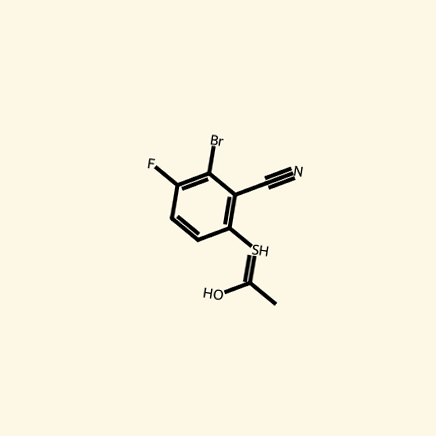 CC(O)=[SH]c1ccc(F)c(Br)c1C#N